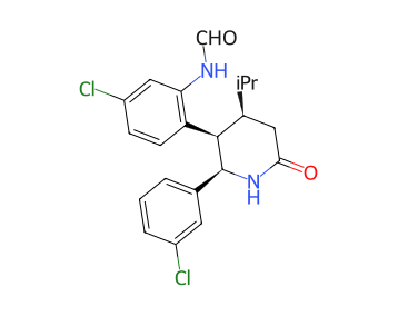 CC(C)[C@H]1CC(=O)N[C@@H](c2cccc(Cl)c2)[C@H]1c1ccc(Cl)cc1NC=O